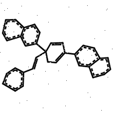 C1=CC(C=Cc2ccccc2)(c2ccc3ccccc3c2)CC=C1c1ccc2ccccc2c1